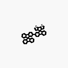 c1ccc2c(c1)-c1ccccc1C21c2ccccc2-c2ccc(-c3ccc4c(c3)C3(c5ccccc5-4)c4ccsc4-c4sccc43)cc21